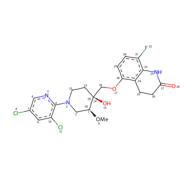 CO[C@H]1CN(c2ncc(Cl)cc2Cl)CC[C@]1(O)COc1ccc(F)c2c1CCC(=O)N2